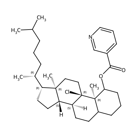 CC(C)CCC[C@@H](C)[C@H]1CC[C@H]2[C@@H]3CCC4CCCC(OC(=O)c5cccnc5)[C@]4(C)[C@@]3(Cl)CC[C@]12C